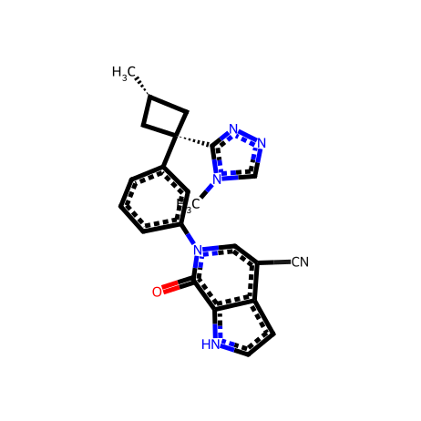 Cn1cnnc1[C@]1(c2cccc(-n3cc(C#N)c4cc[nH]c4c3=O)c2)C[C@H](C)C1